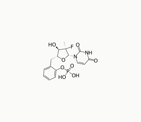 C[C@@]1(F)[C@H](O)[C@@H](Cc2ccccc2OP(=O)(O)O)O[C@H]1n1ccc(=O)[nH]c1=O